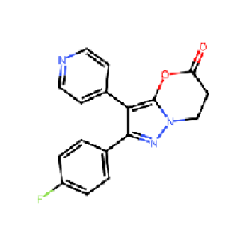 O=C1CCn2nc(-c3ccc(F)cc3)c(-c3ccncc3)c2O1